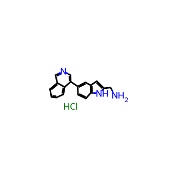 Cl.NCc1cc2cc(-c3cncc4ccccc34)ccc2[nH]1